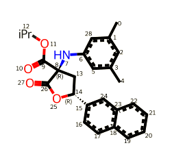 Cc1cc(C)cc(N[C@@]2(C(=O)OC(C)C)C[C@H](c3ccc4ccccc4c3)OC2=O)c1